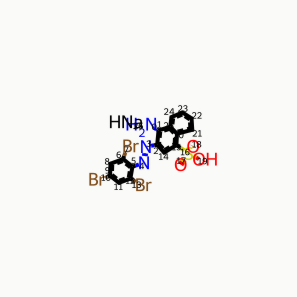 Nc1c(N=Nc2c(Br)cc(Br)cc2Br)cc(S(=O)(=O)O)c2ccccc12.[NaH]